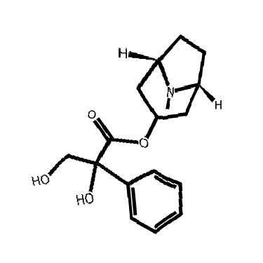 CN1[C@@H]2CC[C@H]1CC(OC(=O)C(O)(CO)c1ccccc1)C2